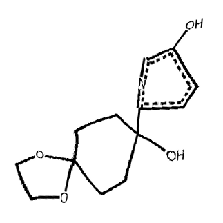 Oc1ccc(C2(O)CCC3(CC2)OCCO3)nc1